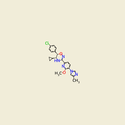 COc1nc(C2=NO[C@H](c3ccc(Cl)cc3)[C@H](C3CC3)N2)ccc1-n1cnc(C)c1